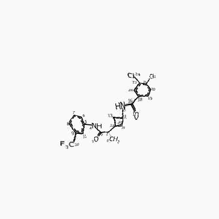 C[C@H](C(=O)Nc1cccc(C(F)(F)F)c1)C12CC(NC(=O)c3ccc(Cl)c(Cl)c3)(C1)C2